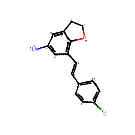 Nc1cc(C=Cc2ccc(Cl)cc2)c2c(c1)CCO2